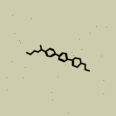 CCCCC(C)c1ccc(-c2ccc(C3=CCC(CCC)CC3)cc2)cc1